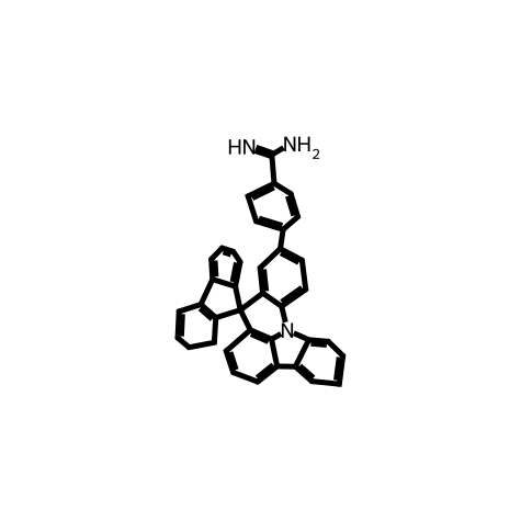 N=C(N)c1ccc(-c2ccc3c(c2)C2(C4=C(C=CCC4)c4ccccc42)c2cccc4c5ccccc5n-3c24)cc1